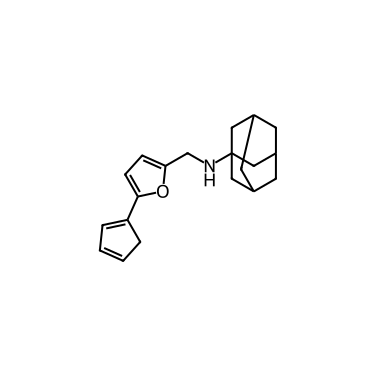 C1=CCC(c2ccc(CNC34CC5CC(CC(C5)C3)C4)o2)=C1